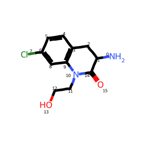 NC1Cc2ccc(Cl)cc2N(CCO)C1=O